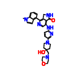 Cn1ccc2c(-c3ncc(Nc4ccc(N5CCC(O)(CN6CCOCC6)CC5)cn4)c4c3CNC4=O)cccc21